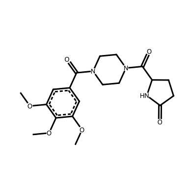 COc1cc(C(=O)N2CCN(C(=O)C3CCC(=O)N3)CC2)cc(OC)c1OC